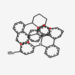 CC(C)(C)c1ccc(N(c2ccccc2-c2cccc3cccc(C4CCCCC4)c23)c2ccccc2-c2cccc3oc4ccccc4c23)cc1